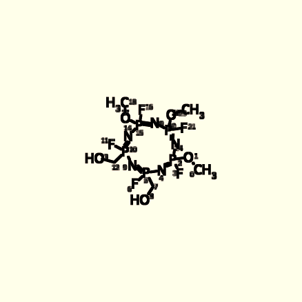 COP1(F)=NP(F)(CO)=NP(F)(CO)=NP(F)(OC)=NP(F)(OC)=N1